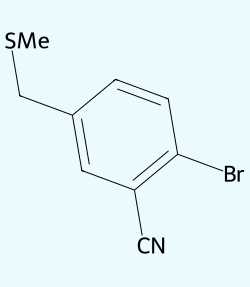 CSCc1ccc(Br)c(C#N)c1